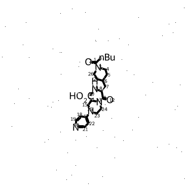 CCCCC(=O)N1CCC(C[C@H](NC(=O)O)C(=O)N2CCN(c3ccncc3)CC2)CC1